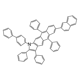 c1ccc(-c2ccc(-n3c(-c4ccccc4)c(-c4ccccc4)c4cc5c(-c6ccccc6)c6cc(-c7ccc8ccccc8c7)ccc6c(-c6ccccc6)c5cc43)cc2)cc1